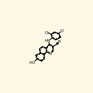 N#Cc1cnc2c(ccc3cc(O)ccc32)c1Nc1ccc(Cl)cc1Cl